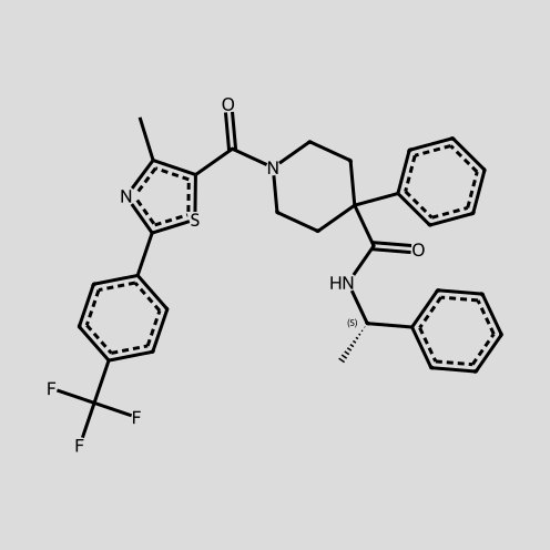 Cc1nc(-c2ccc(C(F)(F)F)cc2)sc1C(=O)N1CCC(C(=O)N[C@@H](C)c2ccccc2)(c2ccccc2)CC1